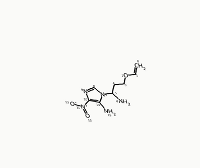 C=COCCC(N)n1cnc([N+](=O)[O-])c1N